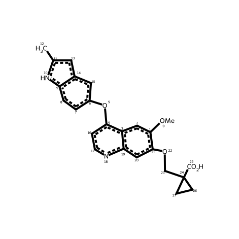 COc1cc2c(Oc3ccc4[nH]c(C)cc4c3)ccnc2cc1OCC1(C(=O)O)CC1